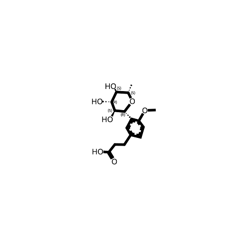 COc1ccc(CCC(=O)O)cc1[C@H]1O[C@@H](C)[C@@H](O)[C@@H](O)[C@@H]1O